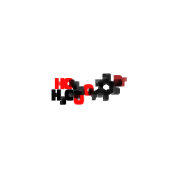 CC1(CO)OC1OCc1ccc(Br)cc1